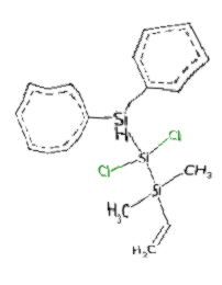 C=C[Si](C)(C)[Si](Cl)(Cl)[SiH](c1ccccc1)c1ccccc1